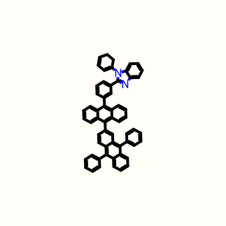 C1=CCCC(n2c(-c3cccc(-c4c5ccccc5c(-c5ccc6c(-c7ccccc7)c7ccccc7c(-c7ccccc7)c6c5)c5ccccc45)c3)nc3ccccc32)=C1